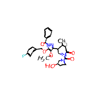 COc1c(C2CN(C(=O)N3CCC(O)C3)C(=O)CC2C)nn(C(=O)c2ccccc2)c1OCc1ccc(F)cc1